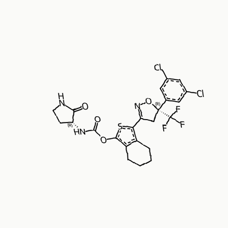 O=C(N[C@@H]1CCNC1=O)Oc1sc(C2=NO[C@](c3cc(Cl)cc(Cl)c3)(C(F)(F)F)C2)c2c1CCCC2